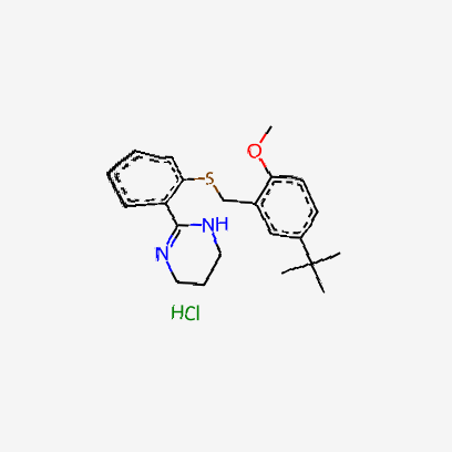 COc1ccc(C(C)(C)C)cc1CSc1ccccc1C1=NCCCN1.Cl